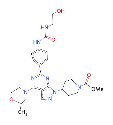 COC(=O)N1CCC(n2ncc3c(N4CCOC(C)C4)nc(-c4ccc(NC(=O)NCCO)cc4)nc32)CC1